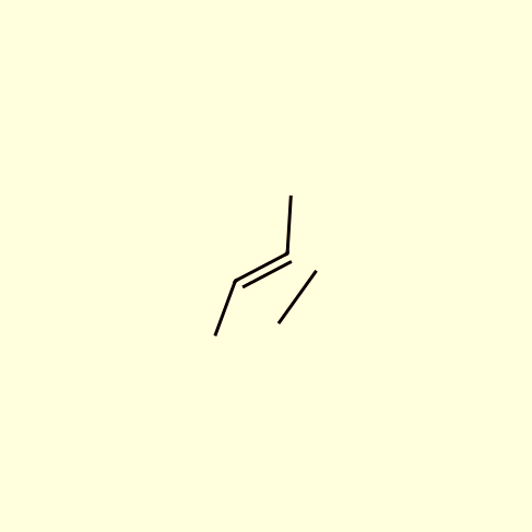 CC.CC=CC